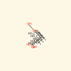 C=C(C)C(=O)O.C=C(C)C(=O)O.C=C(C)C(=O)O.C=C(C)C(=O)O.C=C(C)C(=O)O.CCC(CO)(CO)CO.OCCCCCCO